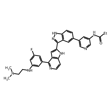 CCC(=O)Nc1cncc(-c2ccc3[nH]nc(-c4cc5c(-c6cc(F)cc(NCCN(C)C)c6)nccc5[nH]4)c3c2)c1